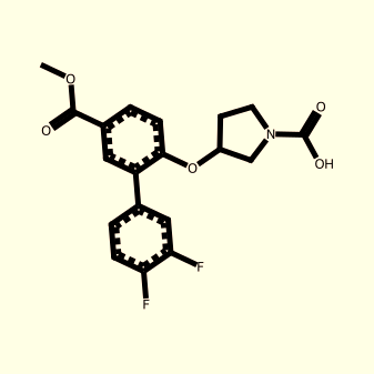 COC(=O)c1ccc(OC2CCN(C(=O)O)C2)c(-c2ccc(F)c(F)c2)c1